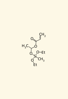 C=CC(=O)OC(C)O[Si](C)(OCC)OCC